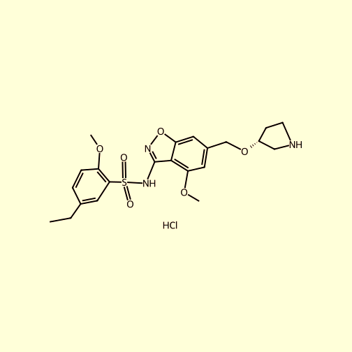 CCc1ccc(OC)c(S(=O)(=O)Nc2noc3cc(CO[C@@H]4CCNC4)cc(OC)c23)c1.Cl